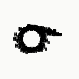 CC[C@@H]1NC(=O)[C@H]([C@H](O)[C@H](C)C/C=C/c2ccc(C(=O)OC)cc2)N(C)C(=O)[C@H](C(C)C)N(C)C(=O)[C@H](CC(C)C)N(C)C(=O)C(CC(C)C)N(C)C(=O)[C@@H](C)NC(=O)[C@H](C)NC(=O)[C@H](CC(C)C)N(C)C(=O)[C@H](C(C)C)NC(=O)[C@H](CC(C)C)N(C)C(=O)CN(C)C1=O